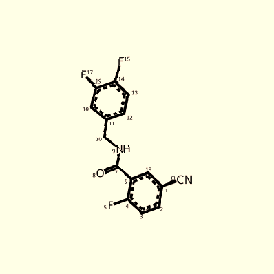 N#Cc1ccc(F)c(C(=O)NCc2ccc(F)c(F)c2)c1